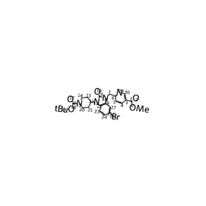 COC(=O)c1ccc(Cn2c(=O)n(C3CCN(C(=O)OC(C)(C)C)CC3)c3ccc(Br)cc32)nc1